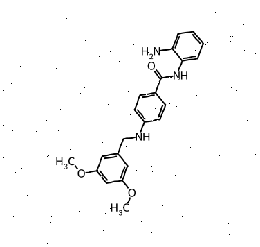 COc1cc(CNc2ccc(C(=O)Nc3ccccc3N)cc2)cc(OC)c1